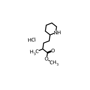 COC(=O)C(C)CCC1CCCCN1.Cl